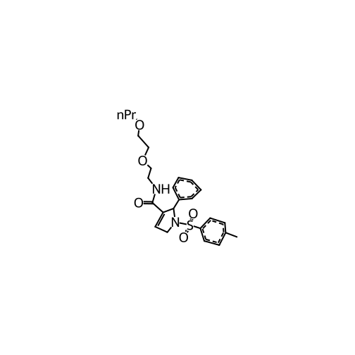 CCCOCCOCCNC(=O)C1=CCN(S(=O)(=O)c2ccc(C)cc2)C1c1ccccc1